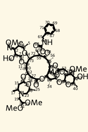 CON=C1C[C@@H](C)O[C@@H](O[C@@H]2[C@@H](C)[C@H](O[C@H]3CC(C)N(CC(OC)OC)C[C@H](C)O3)[C@@H](C)C(=O)O[C@H]([C@@H](C)CO[C@@H]3O[C@H](C)[C@@H](O)[C@@H](OC)[C@H]3OC)[C@H](C)[C@@H](OC(=O)CC(C)C)[C@@H](C)C(=O)[C@@](C)(OC(=O)NCc3ccccc3)C[C@@H]2C)[C@@H]1O